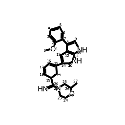 COc1ccccc1-c1c[nH]c2c1C=C(C1=CC=CC(C(=N)N3CCOC(C)C3)C1)CN2